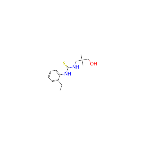 CCc1ccccc1NC(=S)NCC(C)(C)CO